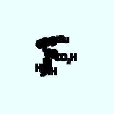 CC(C)(C)c1ccc(COc2ccccc2/C=C/C(CCc2ccc(-c3n[nH]c(=S)[nH]3)cc2)Cc2ccc(C(=O)O)cc2)cc1